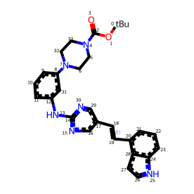 CC(C)(C)OC(=O)N1CCN(c2cccc(Nc3ncc(/C=C/c4cccc5[nH]ccc45)cn3)c2)CC1